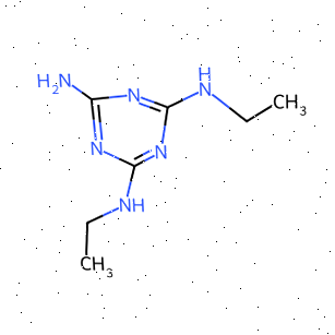 CCNc1nc(N)nc(NCC)n1